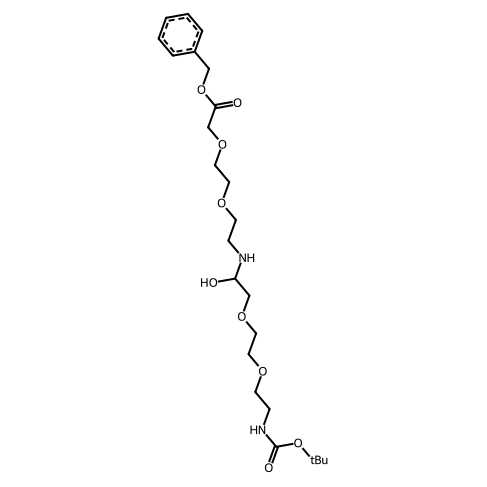 CC(C)(C)OC(=O)NCCOCCOCC(O)NCCOCCOCC(=O)OCc1ccccc1